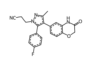 Cc1nn(CCC#N)c(-c2ccc(F)cc2)c1-c1ccc2c(c1)NC(=O)CO2